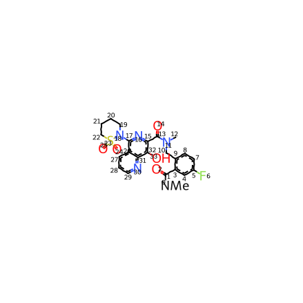 CNC(=O)c1cc(F)ccc1CN(C)C(=O)c1nc(N2CCCCS2(=O)=O)c2cccnc2c1O